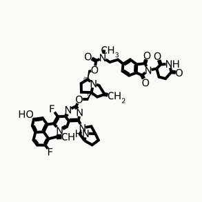 C#Cc1c(F)ccc2cc(O)cc(-c3ncc4c(N5CC6CCC(C5)N6)nc(OC[C@@]56CC[C@@H](COC(=O)N(C)CCc7ccc8c(c7)C(=O)N(C7CCC(=O)NC7=O)C8=O)N5CC(=C)C6)nc4c3F)c12